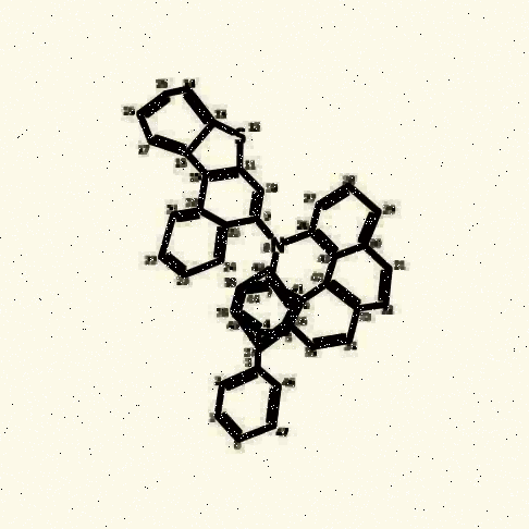 c1ccc(-c2ccc(N(c3cc4sc5ccccc5c4c4ccccc34)c3cccc4ccc5ccc6ccccc6c5c34)cc2)cc1